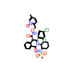 Cc1ccc(CONC(=O)[C@@H]2c3ccccc3C(=O)N(C3CCCC[C@@H]3NS(C)(=O)=O)[C@H]2c2ccc(Cl)cc2Cl)[n+]([O-])c1